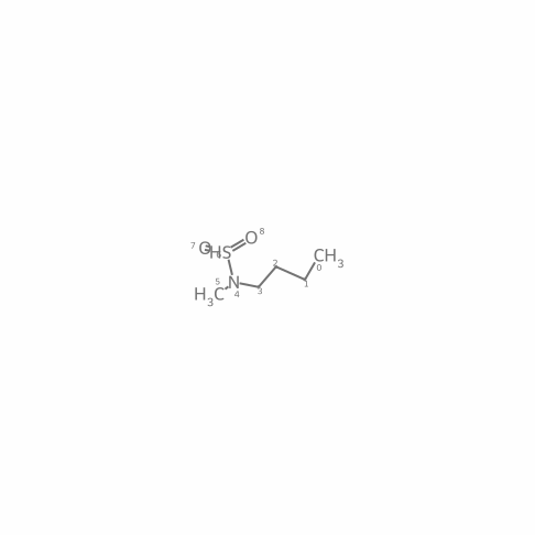 CCCCN(C)[SH](=O)=O